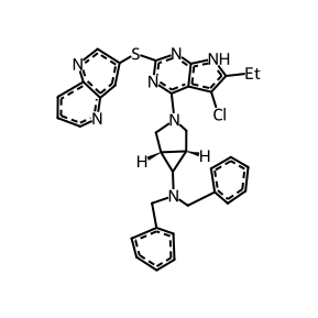 CCc1[nH]c2nc(Sc3cnc4cccnc4c3)nc(N3C[C@@H]4C(N(Cc5ccccc5)Cc5ccccc5)[C@@H]4C3)c2c1Cl